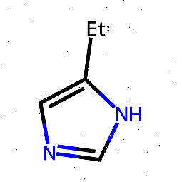 C[C]c1cnc[nH]1